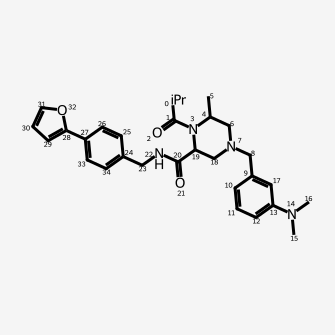 CC(C)C(=O)N1C(C)CN(Cc2cccc(N(C)C)c2)CC1C(=O)NCc1ccc(-c2ccco2)cc1